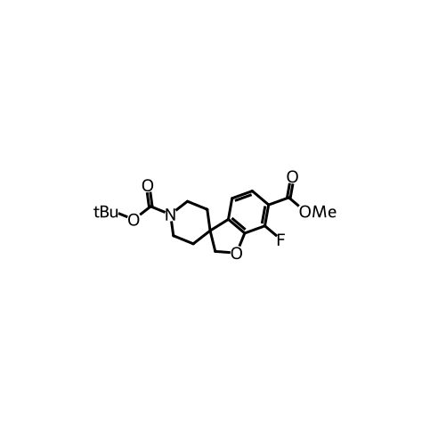 COC(=O)c1ccc2c(c1F)OCC21CCN(C(=O)OC(C)(C)C)CC1